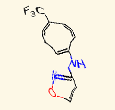 FC(F)(F)c1ccc(Nc2ccon2)cc1